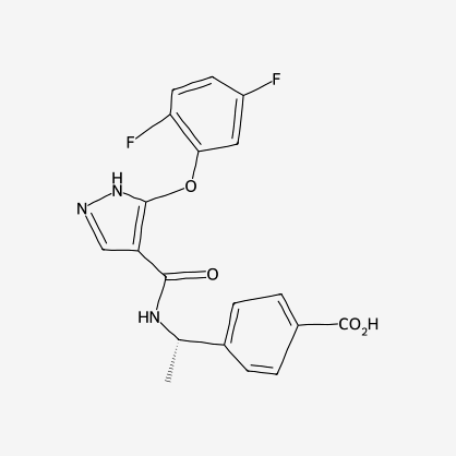 C[C@H](NC(=O)c1cn[nH]c1Oc1cc(F)ccc1F)c1ccc(C(=O)O)cc1